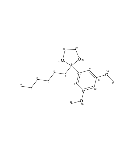 CCCCCCC1(c2cc(OC)cc(OC)c2)OCCO1